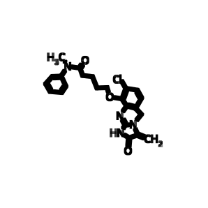 C=c1c(=O)[nH]c2n1Cc1ccc(Cl)c(OCCCCC(=O)N(C)c3ccccc3)c1N=2